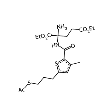 CCOC(=O)CC[C@@](N)(NC(=O)c1sc(CCCSC(C)=O)cc1C)C(=O)OCC